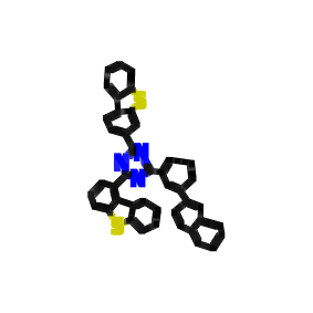 c1cc(-c2ccc3ccccc3c2)cc(-c2nc(-c3ccc4c(c3)sc3ccccc34)nc(-c3cccc4sc5ccccc5c34)n2)c1